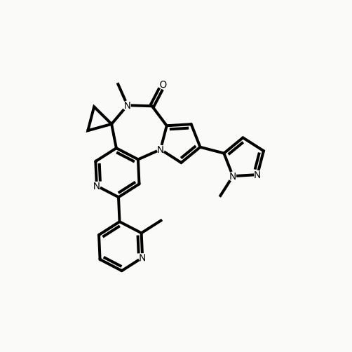 Cc1ncccc1-c1cc2c(cn1)C1(CC1)N(C)C(=O)c1cc(-c3ccnn3C)cn1-2